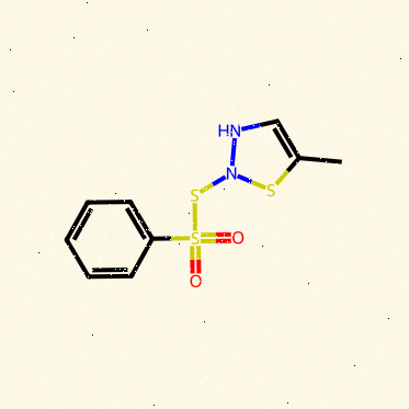 CC1=CNN(SS(=O)(=O)c2ccccc2)S1